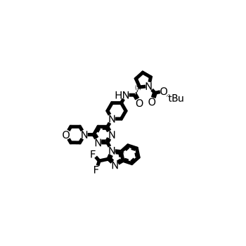 CC(C)(C)OC(=O)N1CCC[C@H]1C(=O)NC1CCN(c2cc(N3CCOCC3)nc(-n3c(C(F)F)nc4ccccc43)n2)CC1